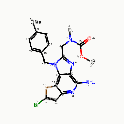 CCN(Cc1nc2c(N)nc3cc(Br)sc3c2n1Cc1ccc(OC)cc1)C(=O)OC(C)(C)C